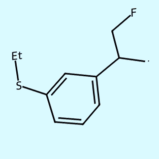 [CH2]C(CF)c1cccc(SCC)c1